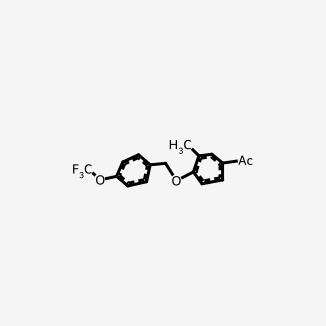 CC(=O)c1ccc(OCc2ccc(OC(F)(F)F)cc2)c(C)c1